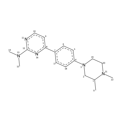 CC1CN(c2ccc(-c3ccnc(N(C)C)n3)cc2)CCN1C